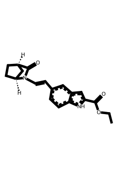 CCOC(=O)c1cc2cc(/C=C/N3C(=O)[C@@H]4CC[C@H]3C4)ccc2[nH]1